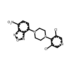 O=[N+]([O-])c1ccc(N2CCN(c3c(Cl)cncc3Cl)CC2)c2nonc12